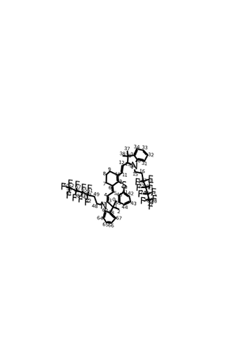 CC1(C)/C(=C\C=C2/CCCC(/C=C/C3N(CCC(F)(F)C(F)(F)C(F)(F)C(F)(F)F)c4ccccc4C3(C)C)=C2Sc2ccccc2)N(CCC(F)(F)C(F)(F)C(F)(F)C(F)(F)F)c2ccccc21